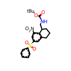 CC(C)(C)OC(=O)NCC1CCCc2cc(S(=O)(=O)c3ccccc3)cc([N+](=O)[O-])c21